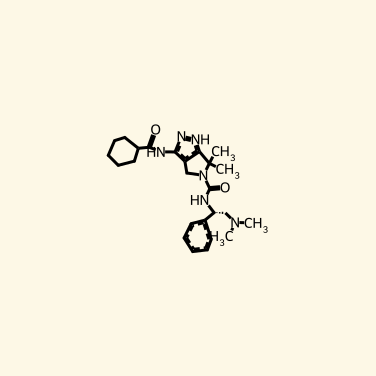 CN(C)C[C@@H](NC(=O)N1Cc2c(NC(=O)C3CCCCC3)n[nH]c2C1(C)C)c1ccccc1